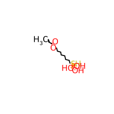 CC=CC(=O)OCCCCCCCC[SH]=P(O)(O)O